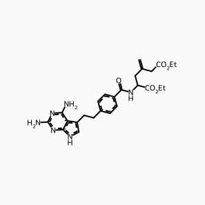 C=C(CC(=O)OCC)CC(NC(=O)c1ccc(CCc2c[nH]c3nc(N)nc(N)c23)cc1)C(=O)OCC